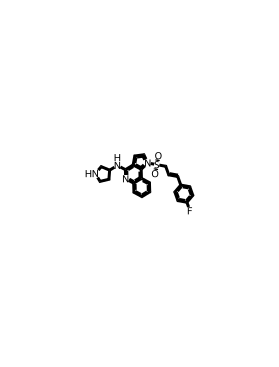 O=S(=O)(CC=Cc1ccc(F)cc1)n1ccc2c(NC3CCNC3)nc3ccccc3c21